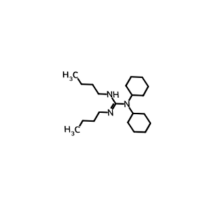 CCCCN=C(NCCCC)N(C1CCCCC1)C1CCCCC1